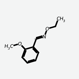 CCO/N=[C]/c1ccccc1OC